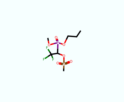 CCCOP(=O)(OC)C(OS(C)(=O)=O)C(F)(F)F